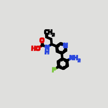 C=CCC(NC(=O)O)c1cncc(-c2cc(F)ccc2N)c1